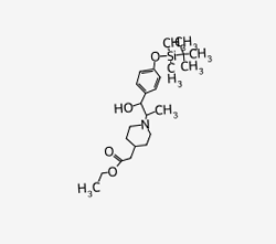 CCOC(=O)CC1CCN(C(C)C(O)c2ccc(O[Si](C)(C)C(C)(C)C)cc2)CC1